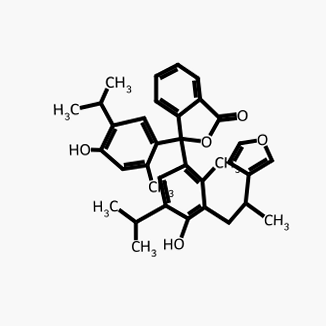 Cc1cc(O)c(C(C)C)cc1C1(c2cc(C(C)C)c(O)c(CC(C)c3ccoc3)c2C)OC(=O)c2ccccc21